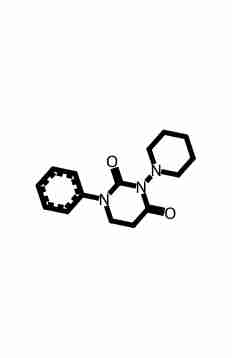 O=C1CCN(c2ccccc2)C(=O)N1N1CCCCC1